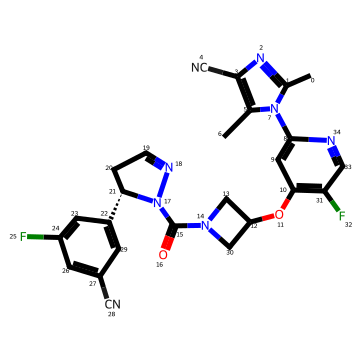 Cc1nc(C#N)c(C)n1-c1cc(OC2CN(C(=O)N3N=CC[C@H]3c3cc(F)cc(C#N)c3)C2)c(F)cn1